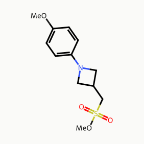 COc1ccc(N2CC(CS(=O)(=O)OC)C2)cc1